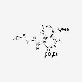 CCOC(=O)c1cnc2c(OC)cccc2c1NCCCF